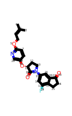 CC(C)=CCOc1ccc(O[C@@H]2CCN(c3cc(F)c4c(c3)C(=O)CC4)C2=O)cn1